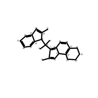 CC1=CC2C(=C1C(C)(C)C1C(C)=Cc3ccccc31)C=CC1=C2CCCC1